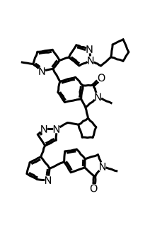 Cc1ccc(-c2cnn(CC3CCCC3)c2)c(-c2ccc3c(c2)C(=O)N(C)C3C2CCCC2Cn2cc(-c3cccnc3-c3ccc4c(c3)C(=O)N(C)C4)cn2)n1